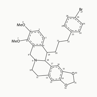 COc1ccc2c(c1OC)CN1CCc3cc4c(cc3C1C2CCCc1ccc(Br)cc1)OCO4